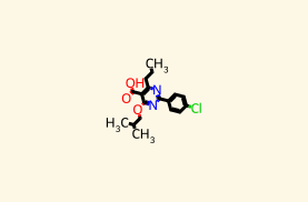 CCCc1nc(-c2ccc(Cl)cc2)nc(OCC(C)C)c1C(=O)O